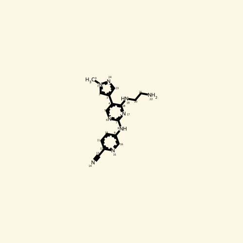 Cn1cc(-c2cnc(Nc3ccc(C#N)nc3)nc2NCCN)cn1